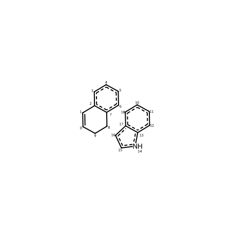 C1=Cc2ccccc2CC1.c1ccc2[nH]ccc2c1